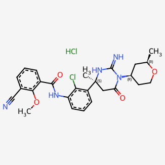 COc1c(C#N)cccc1C(=O)Nc1cccc([C@]2(C)CC(=O)N([C@@H]3CCO[C@H](C)C3)C(=N)N2)c1Cl.Cl